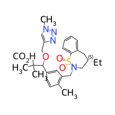 CC[C@H]1Cc2ccccc2S(=O)(=O)N(Cc2cc(C(OCc3cn(C)nn3)C(C)(C)C(=O)O)ccc2C)C1